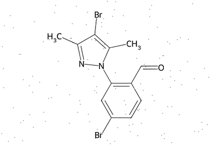 Cc1nn(-c2cc(Br)ccc2C=O)c(C)c1Br